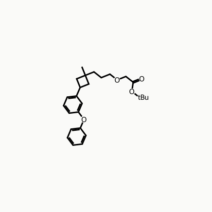 CC1(CCCOCC(=O)OC(C)(C)C)CC(c2cccc(Oc3ccccc3)c2)C1